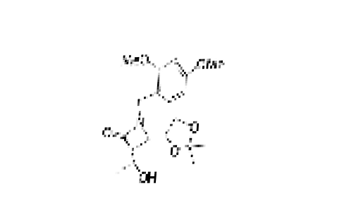 COc1ccc(CN2C(=O)[C@H]([C@@H](C)O)[C@H]2C2COC(C)(C)O2)c(OC)c1